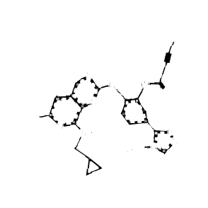 CC#CC(=O)Nc1cc(-c2nncn2C)ccc1Nc1ncc2cc(C)nc(NCC3CC3)c2n1